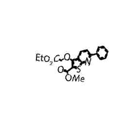 CCOC(=O)COc1c(C(=O)OC)sc2nc(-c3ccccc3)ccc12